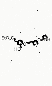 CCOC(=O)/C=C/c1ccc(OCCCc2cncc(OCC3CCCN3)c2)c(CO)c1